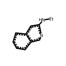 CCNc1cc2ccccc2cn1